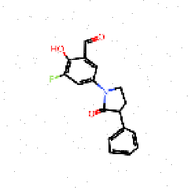 O=Cc1cc(N2CCC(c3ccccc3)C2=O)cc(F)c1O